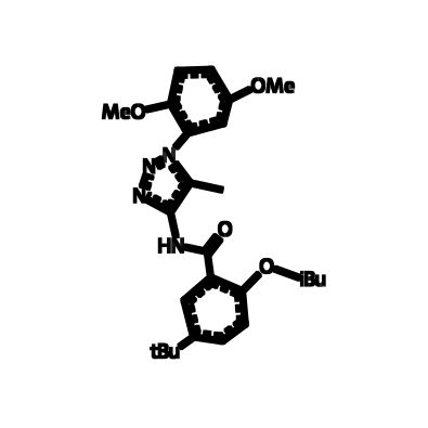 CCC(C)Oc1ccc(C(C)(C)C)cc1C(=O)Nc1nnn(-c2cc(OC)ccc2OC)c1C